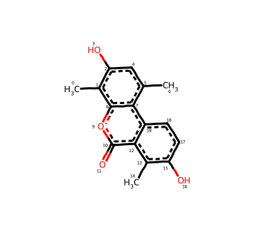 Cc1c(O)cc(C)c2c1oc(=O)c1c(C)c(O)ccc12